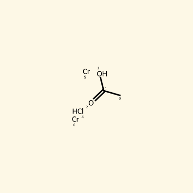 CC(=O)O.Cl.[Cr].[Cr]